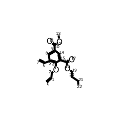 C=CCOc1c(C=C)cc(C(=O)OC)cc1C(=O)OCCCC